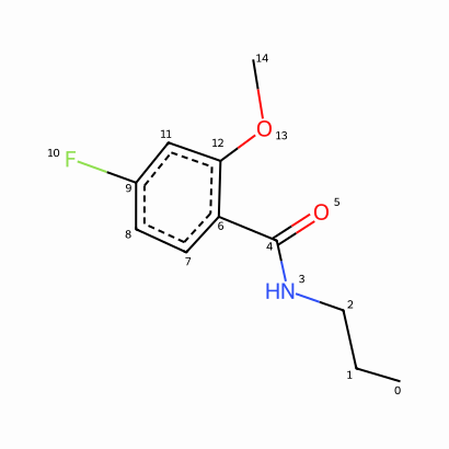 CCCNC(=O)c1ccc(F)cc1OC